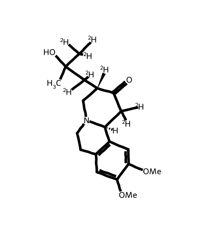 [2H]C1([2H])C(=O)[C@@]([2H])(C([2H])([2H])C(C)(O)C([2H])([2H])[2H])CN2CCc3cc(OC)c(OC)cc3[C@@H]21